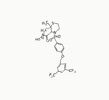 CC1(C)SCCN(S(=O)(=O)c2ccc(OCc3cc(C(F)(F)F)cc(C(F)(F)F)c3)cc2)C1C(=O)NO